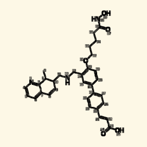 CC1c2ncccc2C=CC1CNCc1cc(-c2ccc(/C=C/C(=O)O)cc2)ccc1OCCCCC(=O)NO